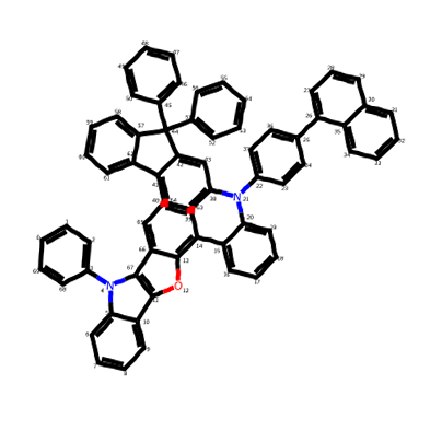 c1ccc(-n2c3ccccc3c3oc4c(-c5ccccc5N(c5ccc(-c6cccc7ccccc67)cc5)c5ccc6c(c5)C(c5ccccc5)(c5ccccc5)c5ccccc5-6)cccc4c32)cc1